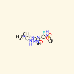 CC(C)n1c(=O)c(-c2ccc(NS(=O)(=O)CC34CCC(CC3)C4)c(F)c2)nc2cnc(N[C@H]3CC[C@H](N(C)C)CC3)nc21